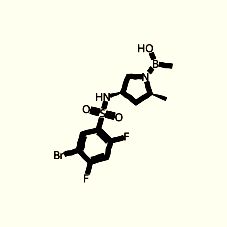 CB(O)N1C[C@H](NS(=O)(=O)c2cc(Br)c(F)cc2F)C[C@@H]1C